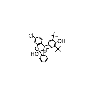 CC(C)(C)c1cc(C2c3ccc(Cl)cc3OC(O)(c3ccccc3)C2(F)F)cc(C(C)(C)C)c1O